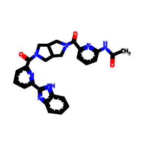 CC(=O)Nc1cccc(C(=O)N2CC3CN(C(=O)c4cccc(-c5nc6ccccc6[nH]5)n4)CC3C2)n1